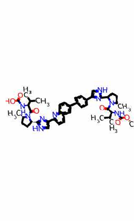 COC(=O)N[C@H](C(=O)N1C(C)CCC1c1nc(-c2ccc(-c3ccc4nc(-c5c[nH]c([C@@H]6CC[C@H](C)N6C(=O)[C@@H](NC(=O)O)C(C)C)n5)ccc4c3)cc2)c[nH]1)C(C)C